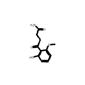 COc1cccc(O)c1C(=O)CCC(N)=O